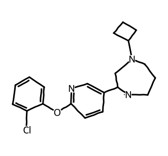 Clc1ccccc1Oc1ccc(C2CN(C3CCC3)CCC[N]2)cn1